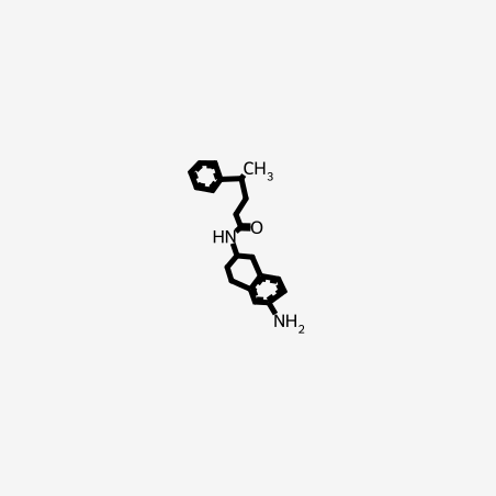 CC(CCC(=O)NC1CCc2cc(N)ccc2C1)c1ccccc1